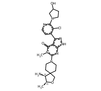 C[C@@H]1OCC2(CCN(c3nc4[nH]nc(-c5ccnc(N6CCC(O)C6)c5Cl)c4c(=O)n3C)CC2)[C@@H]1N